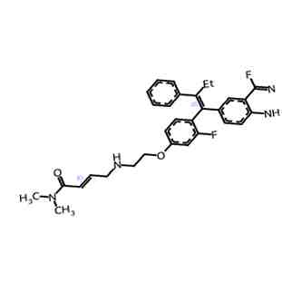 CC/C(=C(\c1ccc(N)c(C(=N)F)c1)c1ccc(OCCNC/C=C/C(=O)N(C)C)cc1F)c1ccccc1